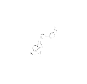 [C-]#[N+]c1ccc2c(cc(C)n2Cc2ccc(-c3cccc(C(F)(F)F)c3)s2)c1C(F)(F)F